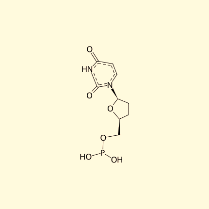 O=c1ccn([C@H]2CC[C@@H](COP(O)O)O2)c(=O)[nH]1